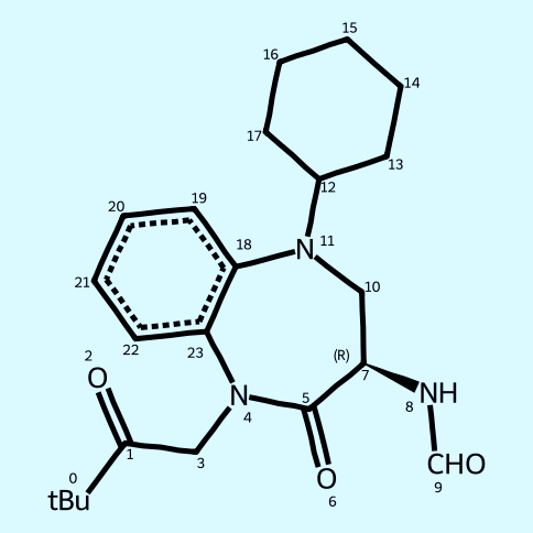 CC(C)(C)C(=O)CN1C(=O)[C@H](NC=O)CN(C2CCCCC2)c2ccccc21